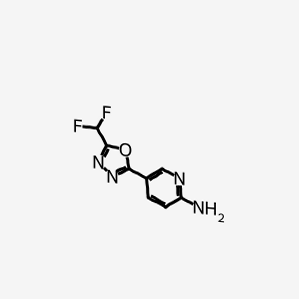 Nc1ccc(-c2nnc(C(F)F)o2)cn1